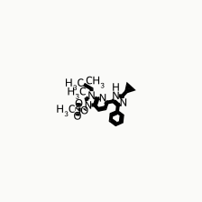 CC(C)(C)CN1CN(OS(C)(=O)=O)c2ccc(-c3[nH]c(C4CC4)nc3-c3ccccc3)nc21